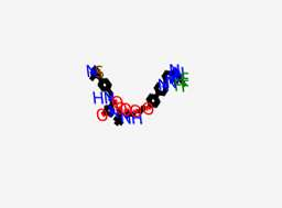 Cc1ncsc1-c1ccc(CNC(=O)C2CC(=O)CN2C(=O)C(NC(=O)COCCOc2ccc(C3CCN(C4=Nn5c(nnc5C(F)(F)F)CC4)CC3)cc2)C(C)(C)C)cc1